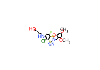 COc1ccc(CN(c2ncns2)[S+]([O-])c2cc(Cl)c(NCCCCO)cc2F)c(OC)c1